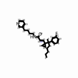 CCCCCC(C)(c1cccc(F)c1)C1(/C=C/C(=O)NCCCCc2cccnc2)CC1